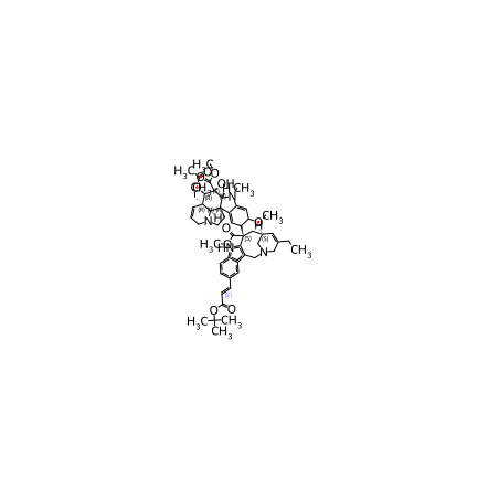 CCC1=C[C@H]2CN(C1)Cc1c([nH]c3ccc(/C=C/C(=O)OC(C)(C)C)cc13)[C@@](C(=O)OC)(C1C=C3C(=CC1OC)N(C)[C@H]1[C@@](O)(C(=O)OC)[C@H](OC(C)=O)[C@]4(CC)C=CCN5CC[C@]31[C@@H]54)C2